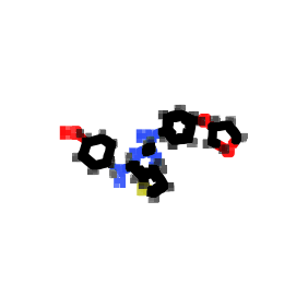 O[C@H]1CC[C@H](Nc2nc(Nc3ccc(OC4CCOC4)cc3)nc3ccsc23)CC1